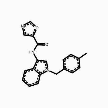 Cc1ccc(Cn2cc(NC(=O)c3cnco3)c3ccccc32)cc1